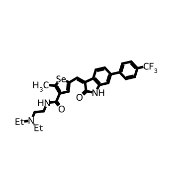 CCN(CC)CCNC(=O)c1cc(C=C2C(=O)Nc3cc(-c4ccc(C(F)(F)F)cc4)ccc32)[se]c1C